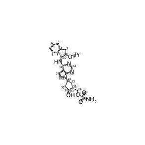 CC(C)O[C@H]1Cc2ccccc2[C@H]1Nc1ncnc2c1ccn2[C@@H]1C[C@@H](COS(N)(=O)=O)[C@@H](O)C1